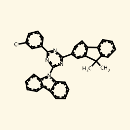 CC1(C)c2ccccc2-c2ccc(-c3nc(-c4cccc(Cl)c4)nc(-n4c5ccccc5c5ccccc54)n3)cc21